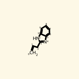 C=C[CH]c1nc2ccccc2[nH]1